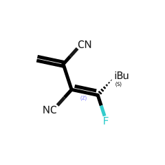 C=C(C#N)/C(C#N)=C(/F)[C@@H](C)CC